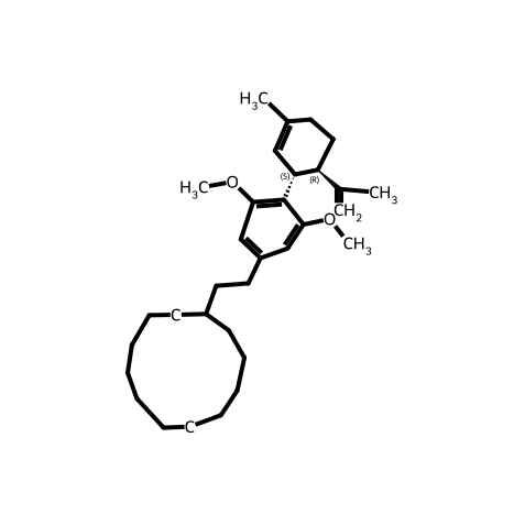 C=C(C)[C@@H]1CCC(C)=C[C@H]1c1c(OC)cc(CCC2CCCCCCCCCCC2)cc1OC